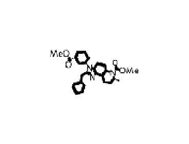 COC(=O)[C@@H]1CCC[C@@H](n2c(Cc3ccccc3)nc3c4c(ccc32)N(C(=O)OC)[C@@H](C)CC4)C1